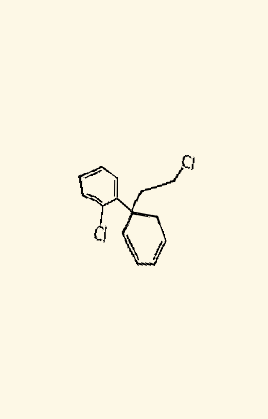 ClCCC1(c2ccccc2Cl)C=CC=CC1